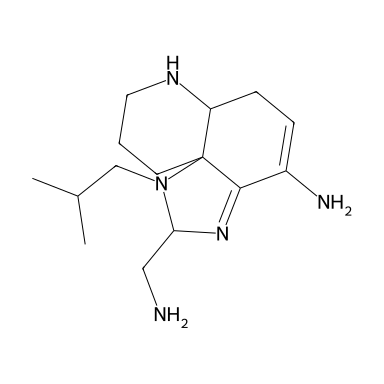 CC(C)CN1C(CN)N=C2C(N)=CCC3NCCCC231